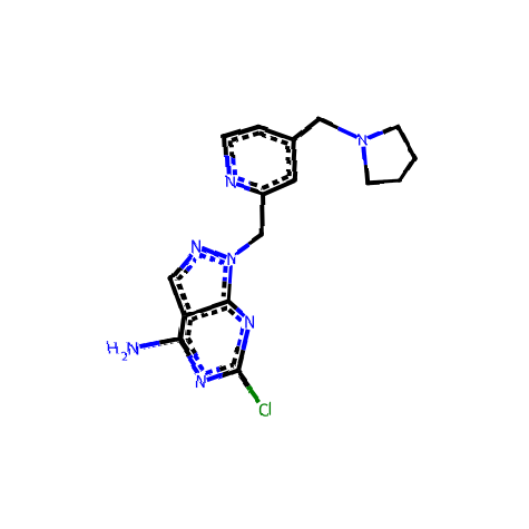 Nc1nc(Cl)nc2c1cnn2Cc1cc(CN2CCCC2)ccn1